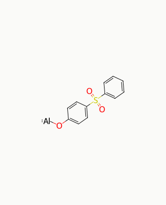 O=S(=O)(c1ccccc1)c1ccc([O][Al])cc1